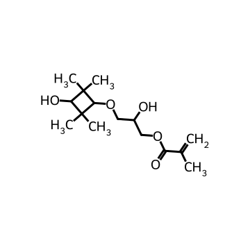 C=C(C)C(=O)OCC(O)COC1C(C)(C)C(O)C1(C)C